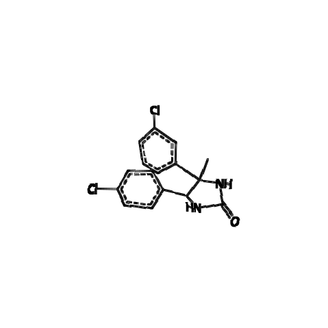 CC1(c2cccc(Cl)c2)NC(=O)NC1c1ccc(Cl)cc1